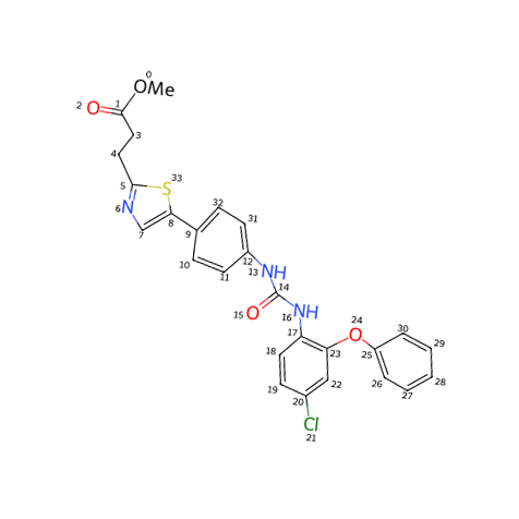 COC(=O)CCc1ncc(-c2ccc(NC(=O)Nc3ccc(Cl)cc3Oc3ccccc3)cc2)s1